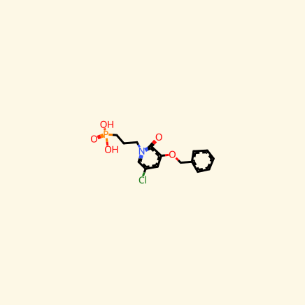 O=c1c(OCc2ccccc2)cc(Cl)cn1CCCP(=O)(O)O